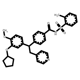 COc1ccc(C(Cc2ccncc2)c2ccc(C(=O)NS(=O)(=O)c3ccccc3C)cc2)cc1OC1CCCC1